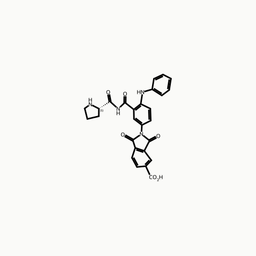 O=C(O)c1ccc2c(c1)C(=O)N(c1ccc(Nc3ccccc3)c(C(=O)NC(=O)[C@@H]3CCCN3)c1)C2=O